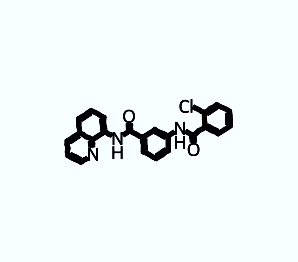 O=C(Nc1cccc2cccnc12)c1cccc(NC(=O)c2ccccc2Cl)c1